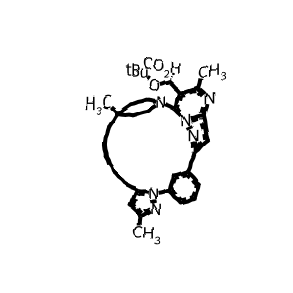 Cc1cc2n(n1)-c1cccc(c1)-c1cc3nc(C)c([C@H](OC(C)(C)C)C(=O)O)c(n3n1)N1CCC(C)(CCCCC2)CC1